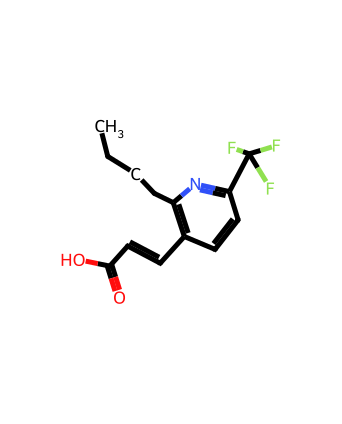 CCCCc1nc(C(F)(F)F)ccc1/C=C/C(=O)O